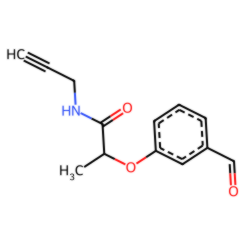 C#CCNC(=O)C(C)Oc1cccc(C=O)c1